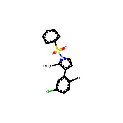 CCOC(=O)c1c(-c2cc(Cl)ccc2CC)ccn1S(=O)(=O)c1ccccc1